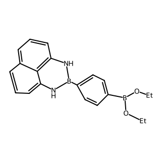 CCOB(OCC)c1ccc(B2Nc3cccc4cccc(c34)N2)cc1